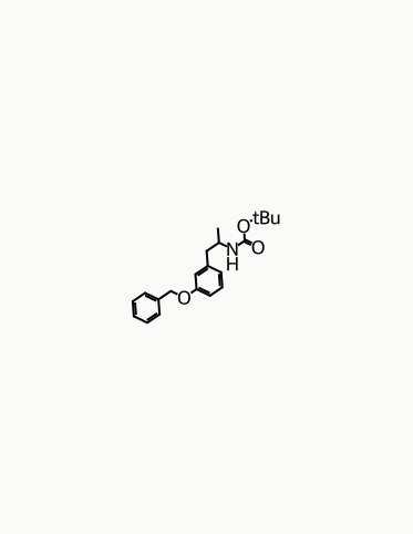 CC(Cc1cccc(OCc2ccccc2)c1)NC(=O)OC(C)(C)C